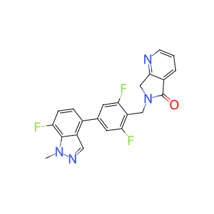 Cn1ncc2c(-c3cc(F)c(CN4Cc5ncccc5C4=O)c(F)c3)ccc(F)c21